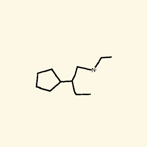 CC[N]CC(CC)C1CCCC1